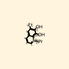 CCc1cc2ccc[n+](C(C)C)c2c(O)c1O